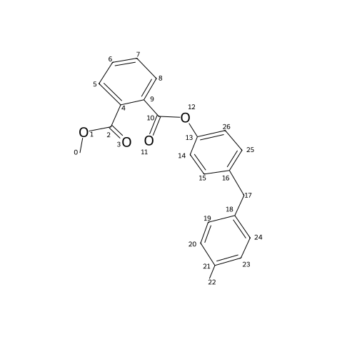 COC(=O)c1ccccc1C(=O)Oc1ccc(Cc2ccc(C)cc2)cc1